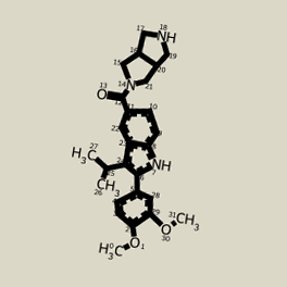 COc1ccc(-c2[nH]c3ccc(C(=O)N4CC5CNCC5C4)cc3c2C(C)C)cc1OC